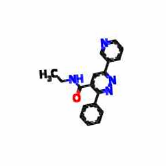 CCNC(=O)c1cc(-c2cccnc2)nnc1-c1ccccc1